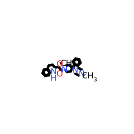 COC(C(=O)N1CCC(c2ccccc2)(N2CCN(C)CC2)CC1)C1CCc2ccccc2N1